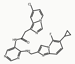 O=C(Cc1ncn2ccc(Cl)cc12)Nc1cncnc1NCc1cn2c(F)c(C3CC3)ccc2n1